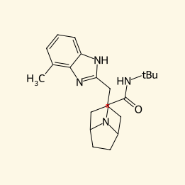 Cc1cccc2[nH]c(CC3CC4CCC(C3)N4CC(=O)NC(C)(C)C)nc12